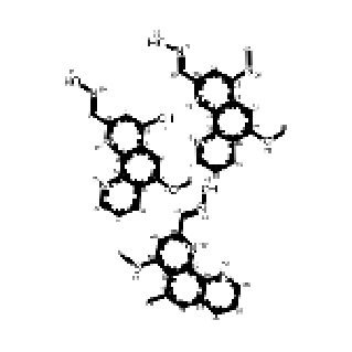 COc1cc2c(O)cc(C=NO)nc2c2ncccc12.COc1cc2c(SC)cc(C=NO)nc2c2ncccc12.CSc1cc(C=NO)nc2c1c(C)cc1cccnc12